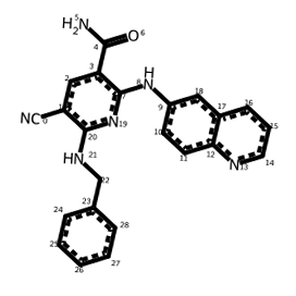 N#Cc1cc(C(N)=O)c(Nc2ccc3ncccc3c2)nc1NCc1ccccc1